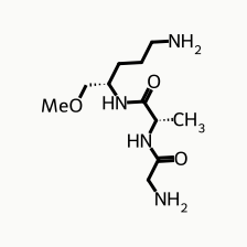 COC[C@H](CCCN)NC(=O)[C@H](C)NC(=O)CN